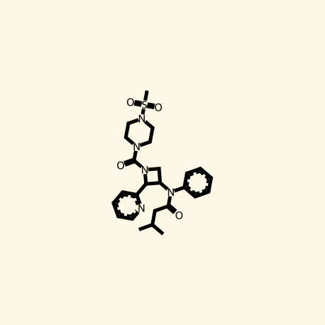 CC(C)CC(=O)N(c1ccccc1)C1CN(C(=O)N2CCN(S(C)(=O)=O)CC2)C1c1ccccn1